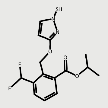 CC(C)OC(=O)c1cccc(C(F)F)c1COc1ccn(S)n1